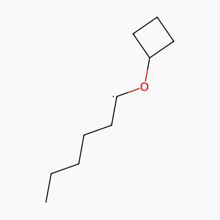 CCCCC[CH]OC1CCC1